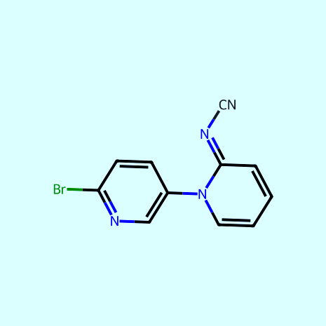 N#CN=c1ccccn1-c1ccc(Br)nc1